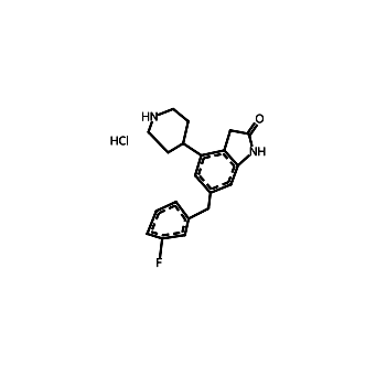 Cl.O=C1Cc2c(cc(Cc3cccc(F)c3)cc2C2CCNCC2)N1